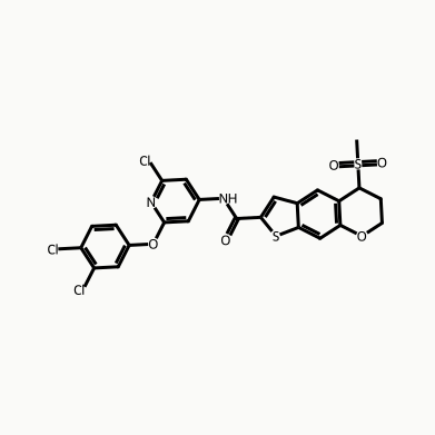 CS(=O)(=O)C1CCOc2cc3sc(C(=O)Nc4cc(Cl)nc(Oc5ccc(Cl)c(Cl)c5)c4)cc3cc21